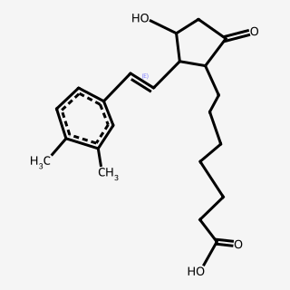 Cc1ccc(/C=C/C2C(O)CC(=O)C2CCCCCCC(=O)O)cc1C